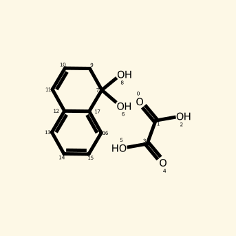 O=C(O)C(=O)O.OC1(O)CC=Cc2ccccc21